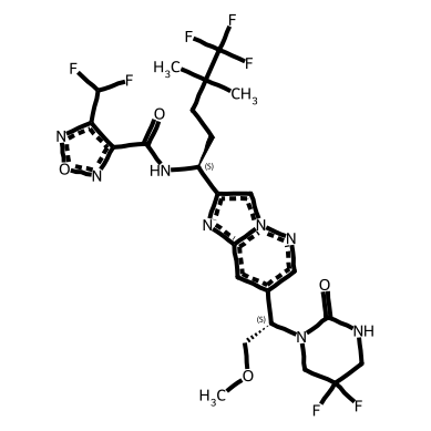 COC[C@H](c1cnn2cc([C@H](CCC(C)(C)C(F)(F)F)NC(=O)c3nonc3C(F)F)nc2c1)N1CC(F)(F)CNC1=O